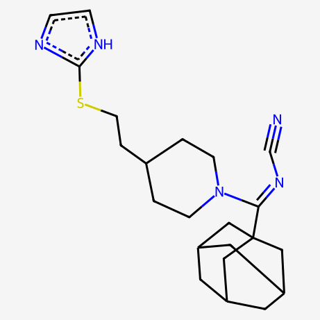 N#C/N=C(\N1CCC(CCSc2ncc[nH]2)CC1)C12CC3CC(CC(C3)C1)C2